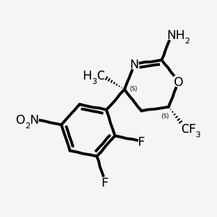 C[C@@]1(c2cc([N+](=O)[O-])cc(F)c2F)C[C@@H](C(F)(F)F)OC(N)=N1